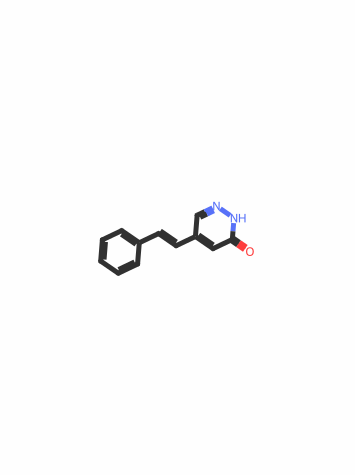 O=c1cc(/C=C/c2ccccc2)cn[nH]1